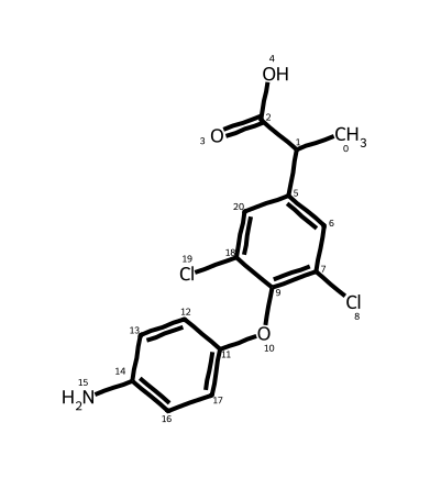 CC(C(=O)O)c1cc(Cl)c(Oc2ccc(N)cc2)c(Cl)c1